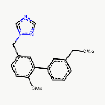 COCc1cccc(-c2cc(Cn3cncn3)ccc2OC)c1